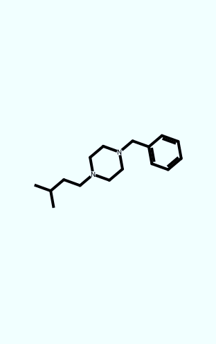 CC(C)CCN1CCN(Cc2ccccc2)CC1